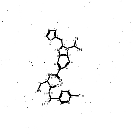 CCC(CC)n1c(Cc2cccs2)nc2cc(C(=O)NC(CC(C)C)C(=O)NC(C)c3ccc(F)cc3)ccc21